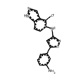 Nc1cccc(-c2cc(Nc3ccc4[nH]ncc4c3Cl)no2)c1